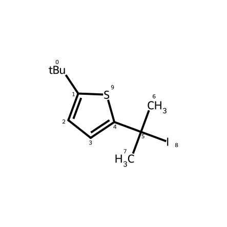 CC(C)(C)c1ccc(C(C)(C)I)s1